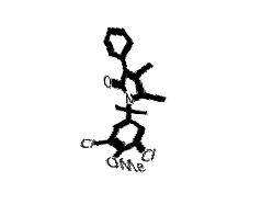 COc1c(Cl)cc(C(C)(C)N2C(=O)C(c3ccccc3)=C(C)C2C)cc1Cl